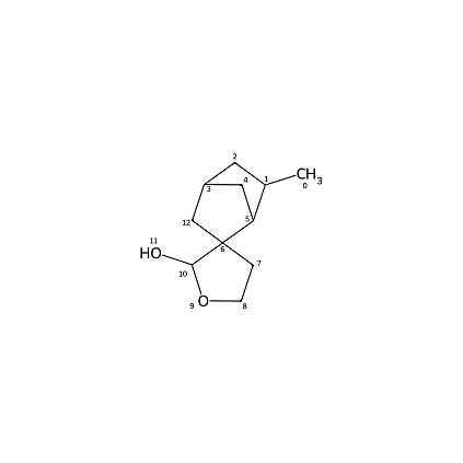 CC1CC2CC1C1(CCOC1O)C2